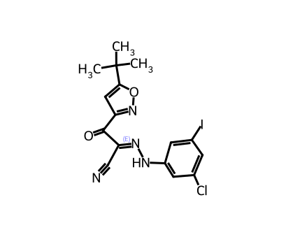 CC(C)(C)c1cc(C(=O)/C(C#N)=N/Nc2cc(Cl)cc(I)c2)no1